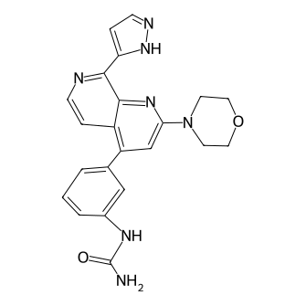 NC(=O)Nc1cccc(-c2cc(N3CCOCC3)nc3c(-c4ccn[nH]4)nccc23)c1